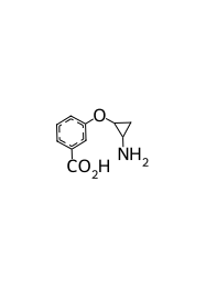 NC1CC1Oc1cccc(C(=O)O)c1